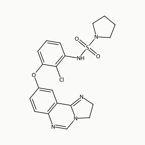 O=S(=O)(Nc1cccc(Oc2ccc3c(c2)C2=NCCN2C=N3)c1Cl)N1CCCC1